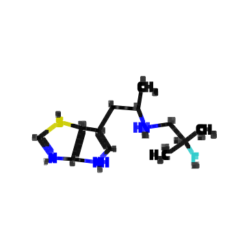 CC(Cc1c[nH]c2ncsc12)NCC(C)(C)F